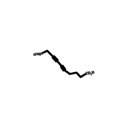 CCCCCCCCC#CC#CCCCC(=O)O